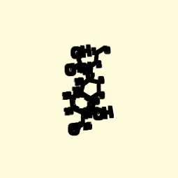 CCCN(C(=O)O)[C@H]1CCc2c(ccc(C=O)c2O)C1